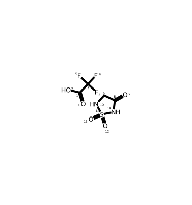 O=C(O)C(F)(F)F.O=C1CNS(=O)(=O)N1